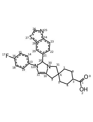 O=C(O)C1CCC2(CC1)CC1=CN(c3ccc(F)cc3)C(c3ccc4ncsc4c3)N1C2